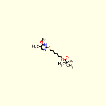 CCOc1nc(SCCCCCCOC(=O)C(C)(C)C(C)C)ncc1C